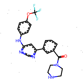 O=C(c1cccc(-c2cc(Nc3ccc(OC(F)(F)F)cc3)ncn2)c1)N1CCNCC1